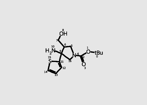 CC(C)(C)OC(=O)N1CC(CO)C(N)(c2cccs2)C1